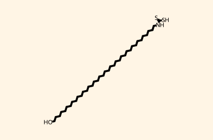 OCCCCCCCCCCCCCCCCCCCCCCCCCCCCCCCCCCCCCCNC(=S)S